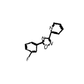 Fc1cccc(-c2nc(-c3ccccn3)no2)c1